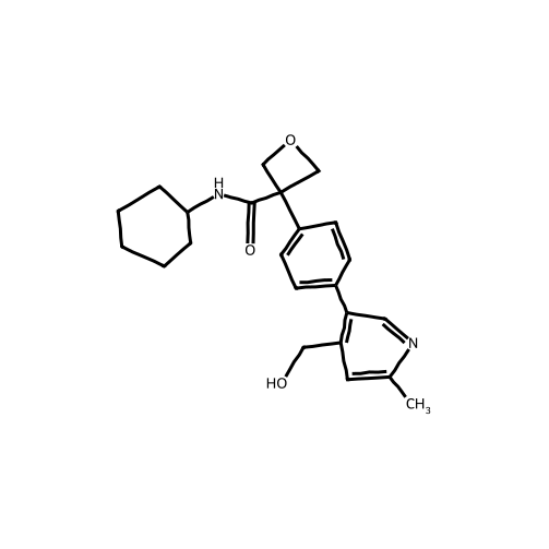 Cc1cc(CO)c(-c2ccc(C3(C(=O)NC4CCCCC4)COC3)cc2)cn1